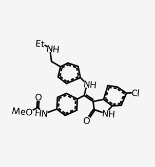 CCNCc1ccc(NC(=C2C(=O)Nc3cc(Cl)ccc32)c2ccc(NC(=O)OC)cc2)cc1